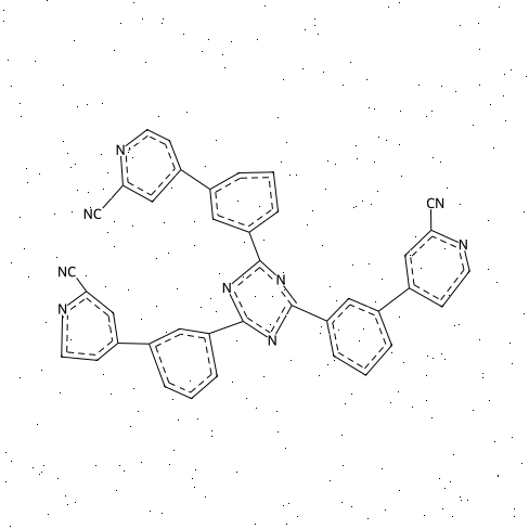 N#Cc1cc(-c2cccc(-c3nc(-c4cccc(-c5ccnc(C#N)c5)c4)nc(-c4cccc(-c5ccnc(C#N)c5)c4)n3)c2)ccn1